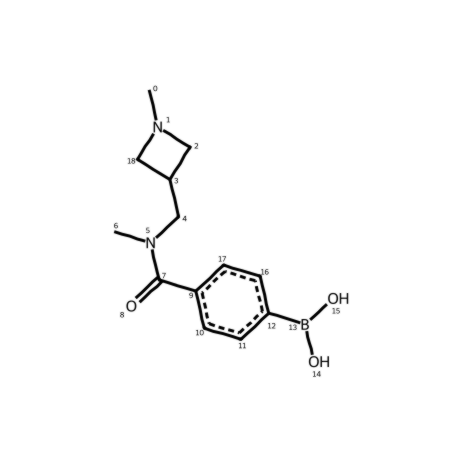 CN1CC(CN(C)C(=O)c2ccc(B(O)O)cc2)C1